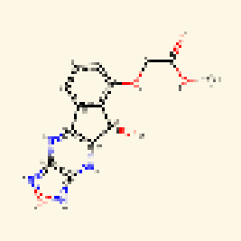 CC(C)(C)OC(=O)COc1cccc2c1C(=O)c1nc3nonc3nc1-2